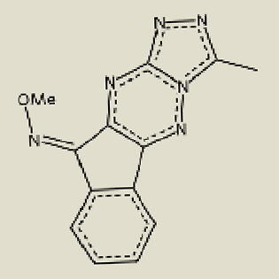 CON=C1c2ccccc2-c2nn3c(C)nnc3nc21